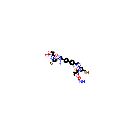 COC(=O)N[C@H](C(=O)N1C[C@H](SC)C[C@H]1c1ncc(-c2ccc(-c3ccc(-c4cnc([C@@H]5C[C@@H](CS)CN5C(=O)[C@@H](COOC=N)C(C)C)[nH]4)cc3)cc2)[nH]1)C(C)C